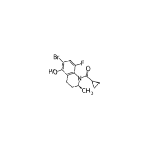 C[C@H]1CCc2c(O)c(Br)cc(F)c2N1C(=O)C1CC1